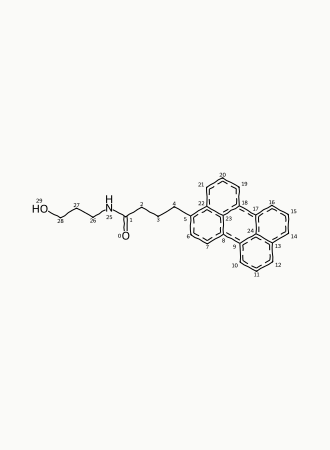 O=C(CCCc1ccc2c3cccc4cccc(c5cccc1c52)c43)NCCCO